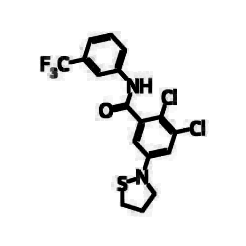 O=C(Nc1cccc(C(F)(F)F)c1)c1cc(N2CCCS2)cc(Cl)c1Cl